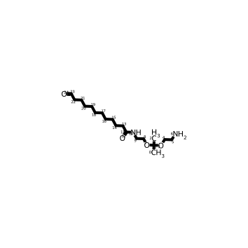 CC(C)(OCCN)OCCNC(=O)CCCCCCCCCCC=O